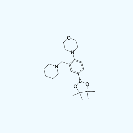 CC1(C)OB(c2ccc(N3CCOCC3)c(CN3CCCCC3)c2)OC1(C)C